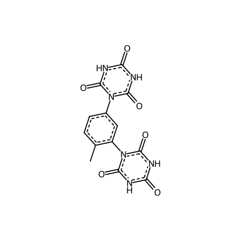 Cc1ccc(-n2c(=O)[nH]c(=O)[nH]c2=O)cc1-n1c(=O)[nH]c(=O)[nH]c1=O